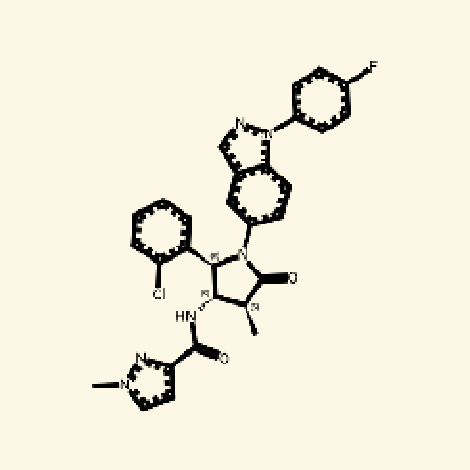 C[C@@H]1C(=O)N(c2ccc3c(cnn3-c3ccc(F)cc3)c2)[C@H](c2ccccc2Cl)[C@H]1NC(=O)c1ccn(C)n1